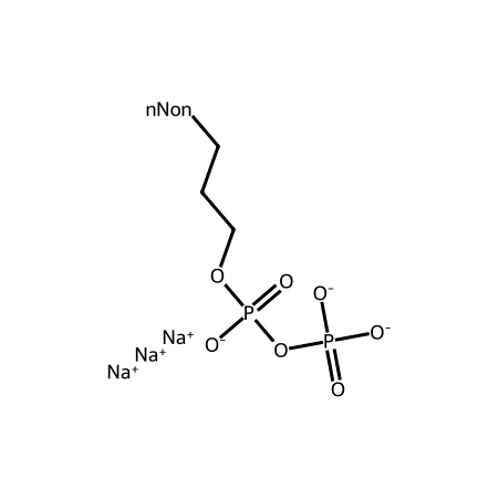 CCCCCCCCCCCCOP(=O)([O-])OP(=O)([O-])[O-].[Na+].[Na+].[Na+]